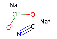 [C-]#N.[Na+].[Na+].[O-][Cl+][O-]